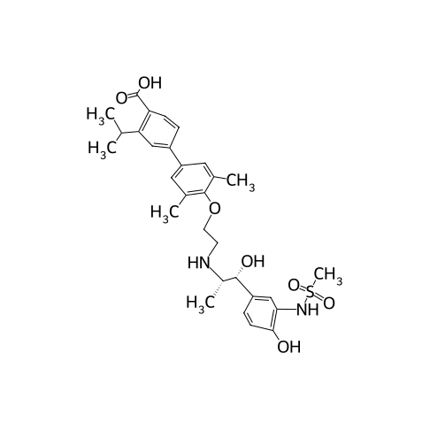 Cc1cc(-c2ccc(C(=O)O)c(C(C)C)c2)cc(C)c1OCCN[C@@H](C)[C@H](O)c1ccc(O)c(NS(C)(=O)=O)c1